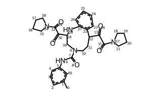 Cc1cccc(NC(=O)N2CCC(C(=O)C(=O)N3CCCC3)c3ccccc3NC(C(=O)C(=O)N3CCCC3)C2)c1